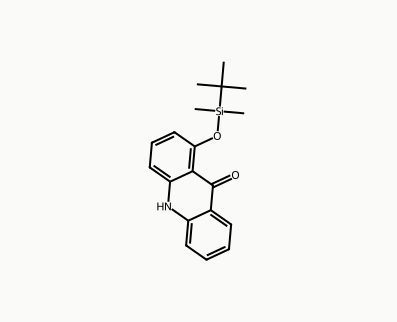 CC(C)(C)[Si](C)(C)Oc1cccc2[nH]c3ccccc3c(=O)c12